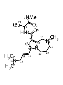 CNC(=O)C(NC(=O)c1nc(C=CCN(C)C)n2c1CN(C)CCC2)C(C)(C)C